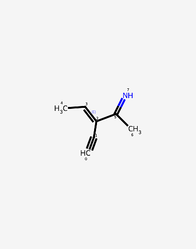 C#C/C(=C\C)C(C)=N